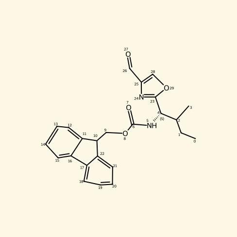 CCC(C)[C@H](NC(=O)OCC1c2ccccc2-c2ccccc21)c1nc(C=O)co1